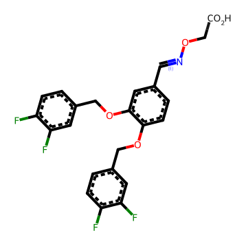 O=C(O)CO/N=C/c1ccc(OCc2ccc(F)c(F)c2)c(OCc2ccc(F)c(F)c2)c1